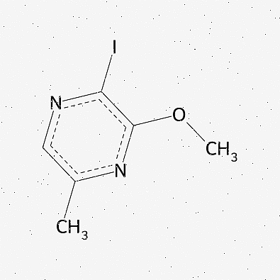 COc1nc(C)cnc1I